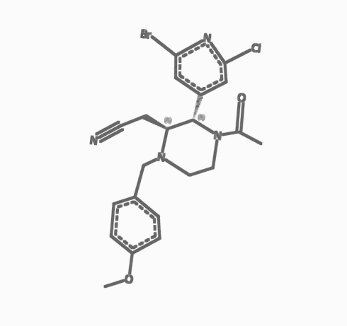 COc1ccc(CN2CCN(C(C)=O)[C@@H](c3cc(Cl)nc(Br)c3)[C@@H]2CC#N)cc1